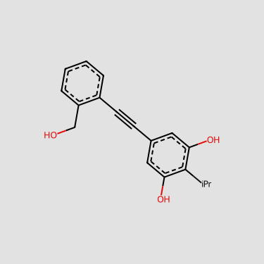 CC(C)c1c(O)cc(C#Cc2ccccc2CO)cc1O